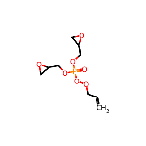 C=CCOOP(=O)(OCC1CO1)OCC1CO1